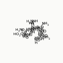 CC(C)[C@H](NC(=O)[C@H](C)NC(=O)[C@H](CCCNC(=N)N)NC(=O)[C@@H]1CCCN1C(=O)[C@H](CCCCN)NC(=O)[C@H](C)NC(=O)[C@H](CCC(N)=O)NC(=O)[C@@H]1CCCN1C(=O)[C@@H](NC(=O)[C@@H]1CCCN1)C(C)C)C(=O)N[C@@H](C)C(=O)N[C@@H](C)C(=O)N[C@@H](C)C(=O)N[C@@H](CCC(N)=O)C(=O)O